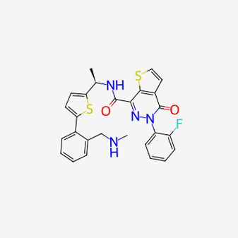 CNCc1ccccc1-c1ccc([C@@H](C)NC(=O)c2nn(-c3ccccc3F)c(=O)c3ccsc23)s1